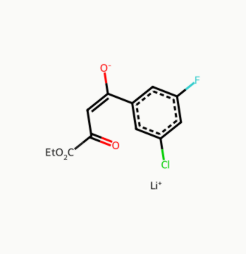 CCOC(=O)C(=O)/C=C(/[O-])c1cc(F)cc(Cl)c1.[Li+]